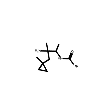 CC(NC(=O)O)C(C)(N)CC1(C)CC1